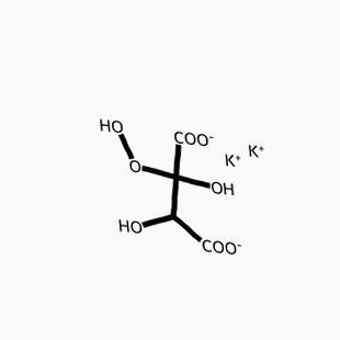 O=C([O-])C(O)C(O)(OO)C(=O)[O-].[K+].[K+]